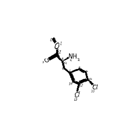 COC(=O)[C@@H](N)Cc1ccc(Cl)c(Cl)c1